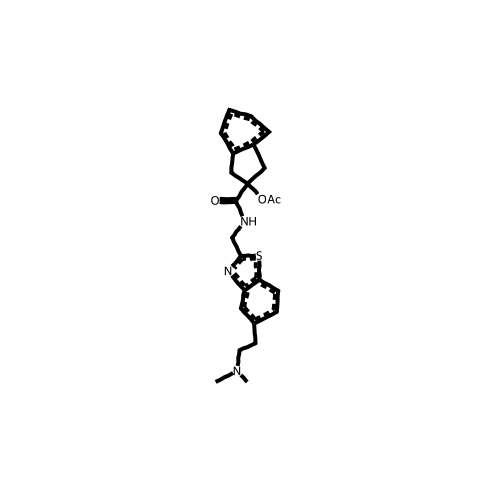 CC(=O)OC1(C(=O)NCc2nc3cc(CCN(C)C)ccc3s2)Cc2ccccc2C1